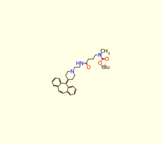 CN(CCCC(=O)NCCN1CCC(=C2c3ccccc3C=Cc3ccccc32)CC1)C(=O)OC(C)(C)C